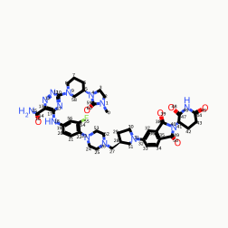 CN1CCN([C@@H]2CCCN(c3nnc(C(N)=O)c(Nc4ccc(N5CCN(C[C@H]6CCN(c7ccc8c(c7)C(=O)N(C7CCC(=O)NC7=O)C8=O)C6)CC5)c(F)c4)n3)C2)C1=O